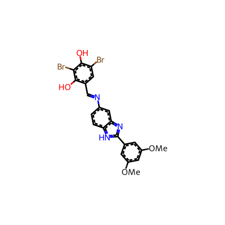 COc1cc(OC)cc(-c2nc3cc(/N=C/c4cc(Br)c(O)c(Br)c4O)ccc3[nH]2)c1